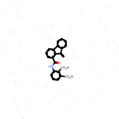 C=C1c2ccccc2-c2cccc(C(=O)Nc3cccc(C(=O)O)c3C(=O)O)c21